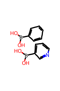 OB(O)c1ccccc1.OB(O)c1cccnc1